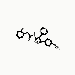 COc1ccc(-c2noc(NC(=O)Cc3ccccc3Cl)c2-c2ccncn2)cc1